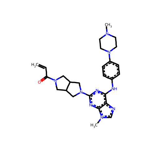 C=CC(=O)N1CC2CN(c3nc(Nc4ccc(N5CCN(C)CC5)cc4)c4ncn(C)c4n3)CC2C1